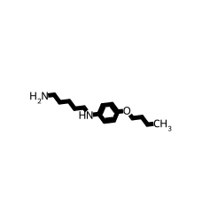 CCCCOc1ccc(NCCCCCN)cc1